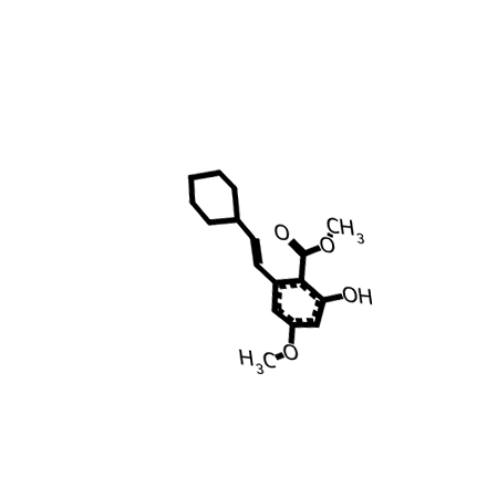 COC(=O)c1c(O)cc(OC)cc1C=CC1CCCCC1